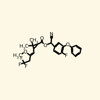 COC(=CC1C(C(=O)OC(C#N)c2ccc(F)c(Oc3ccccc3)c2)C1(C)C)CC(F)(F)F